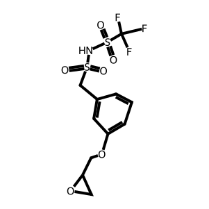 O=S(=O)(Cc1cccc(OCC2CO2)c1)NS(=O)(=O)C(F)(F)F